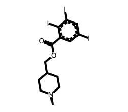 CN1CCC(COC(=O)c2cc(I)cc(I)c2I)CC1